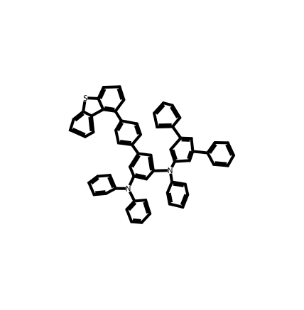 c1ccc(-c2cc(-c3ccccc3)cc(N(c3ccccc3)c3cc(-c4ccc(-c5cccc6sc7ccccc7c56)cc4)cc(N(c4ccccc4)c4ccccc4)c3)c2)cc1